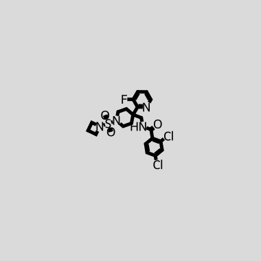 O=C(NCC1(c2ncccc2F)CCN(S(=O)(=O)N2CCC2)CC1)c1ccc(Cl)cc1Cl